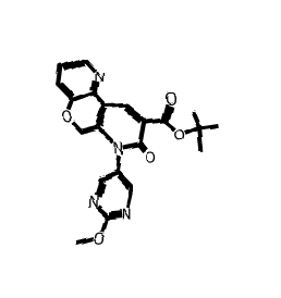 COc1ncc(-n2c3c(cc(C(=O)OC(C)(C)C)c2=O)-c2ncccc2OC3)cn1